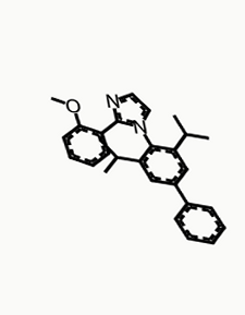 COc1ccccc1-c1nccn1-c1c(C(C)C)cc(-c2ccccc2)cc1C(C)C